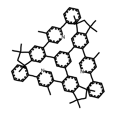 Cc1cc(-c2ccccc2)ncc1-c1cc2c(cc1-c1cc(-c3cc4c(cc3-c3cnc(-c5ccccc5)cc3C)C(C)(C)CC4(C)C)cc(-c3cc4c(cc3-c3cnc(-c5ccccc5)cc3C)C(C)(C)CC4(C)C)c1)C(C)(C)CC2(C)C